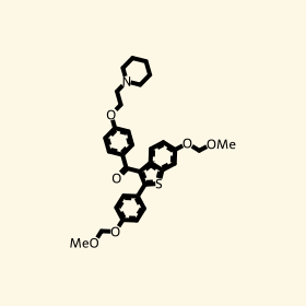 COCOc1ccc(-c2sc3cc(OCOC)ccc3c2C(=O)c2ccc(OCCN3CCCCC3)cc2)cc1